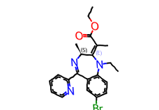 CCOC(=O)/C(C)=C1\[C@H](C)N=C(c2ccccn2)c2cc(Br)ccc2N1CC